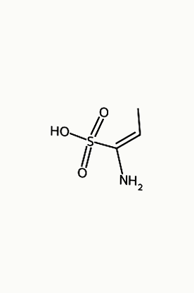 C/C=C(/N)S(=O)(=O)O